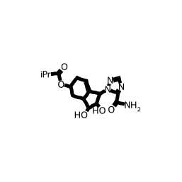 CC(C)C(=O)OC1CC=C2C(C1)C(O)C(O)C2n1ncnc1C(N)=O